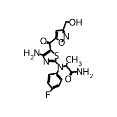 CC(C(N)=O)N(c1ccc(F)cc1)c1nc(N)c(C(=O)c2cc(CO)no2)s1